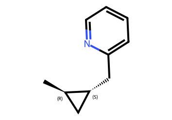 C[C@@H]1C[C@H]1Cc1ccccn1